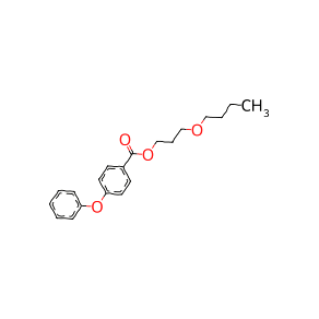 CCCCOCCCOC(=O)c1ccc(Oc2ccccc2)cc1